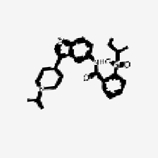 CCC(C)S(=O)(=O)c1ccccc1C(=O)Nc1ccc2scc(C3CCN(C(C)C)CC3)c2c1